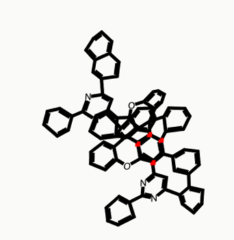 c1ccc(-c2nc(-c3ccccc3-c3cccc(-c4cccc5c4-c4ccccc4C54c5ccccc5Oc5c(-c6cc(-c7ccc8ccccc8c7)nc(-c7ccccc7)n6)cccc54)c3)cc(-c3cccc4c3Oc3ccccc3C43c4ccccc4-c4ccccc43)n2)cc1